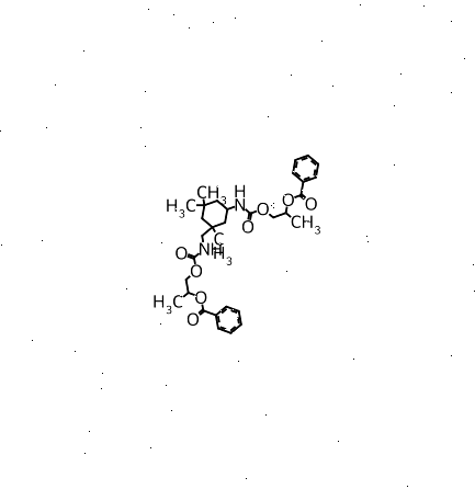 CC(COC(=O)NCC1(C)CC(NC(=O)OCC(C)OC(=O)c2ccccc2)CC(C)(C)C1)OC(=O)c1ccccc1